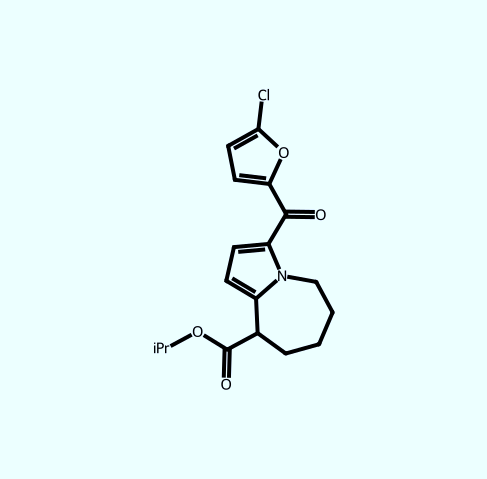 CC(C)OC(=O)C1CCCCn2c(C(=O)c3ccc(Cl)o3)ccc21